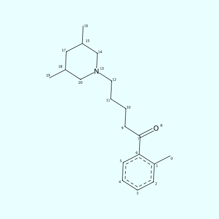 Cc1ccccc1C(=O)CCCCN1CC(C)CC(C)C1